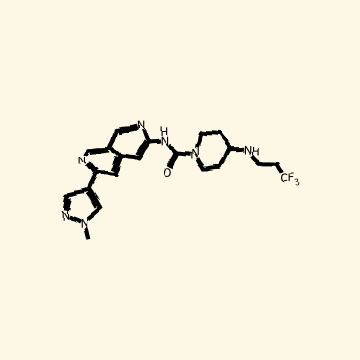 Cn1cc(-c2cc3cc(NC(=O)N4CCC(NCCC(F)(F)F)CC4)ncc3cn2)cn1